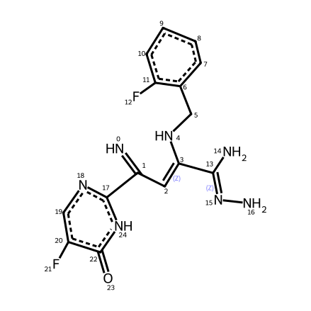 N=C(/C=C(NCc1ccccc1F)/C(N)=N/N)c1ncc(F)c(=O)[nH]1